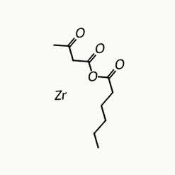 CCCCCC(=O)OC(=O)CC(C)=O.[Zr]